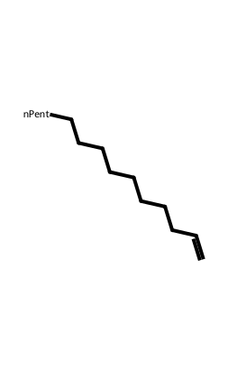 C=CCCCCCCCCCCCCC